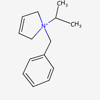 CC(C)[N+]1(Cc2ccccc2)CC=CC1